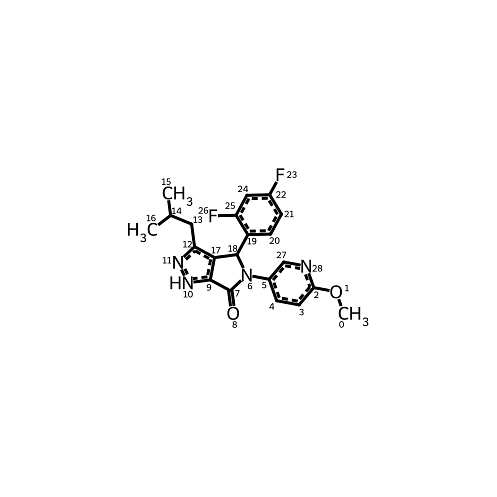 COc1ccc(N2C(=O)c3[nH]nc(CC(C)C)c3C2c2ccc(F)cc2F)cn1